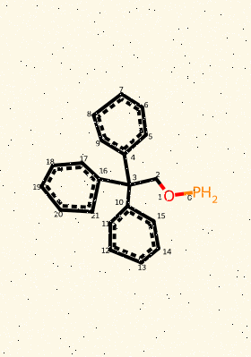 POCC(c1ccccc1)(c1ccccc1)c1ccccc1